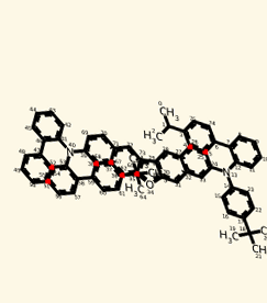 CC(C)c1ccc(-c2ccccc2N(c2ccc(C(C)(C)C)cc2)c2ccc3cc4c(cc3c2)oc2cc3cc(N(c5ccccc5-c5ccccc5)c5ccccc5-c5ccc(C(C)(C)C)cc5)ccc3cc24)cc1